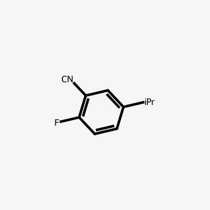 [C-]#[N+]c1cc(C(C)C)ccc1F